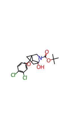 COC(CO)C12CN(C(=O)OC(C)(C)C)CCC1(c1ccc(Cl)c(Cl)c1)C2